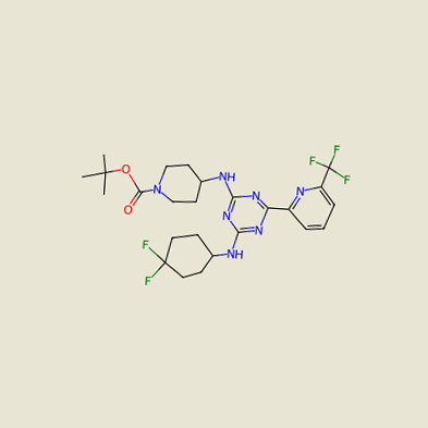 CC(C)(C)OC(=O)N1CCC(Nc2nc(NC3CCC(F)(F)CC3)nc(-c3cccc(C(F)(F)F)n3)n2)CC1